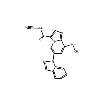 CNc1cc(-n2ncc3ccccc32)nn2c(C(=O)NC#N)cnc12